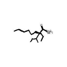 CCCCCCC(CC)(C(N)=O)C(C)CC